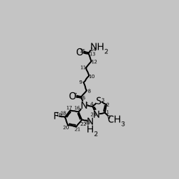 Cc1csc(N(C(=O)CCCCCC(N)=O)c2cc(F)ccc2N)n1